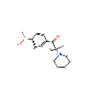 C[S+]([O-])c1ccc(C(=O)C(C)(C)N2CCCCC2)cc1